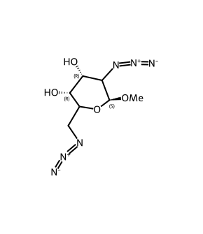 CO[C@H]1OC(CN=[N+]=[N-])[C@H](O)[C@H](O)C1N=[N+]=[N-]